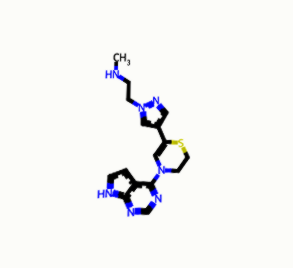 CNCCn1cc(C2=CN(c3ncnc4[nH]ccc34)CCS2)cn1